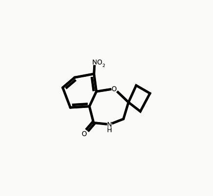 O=C1NCC2(CCC2)Oc2c1cccc2[N+](=O)[O-]